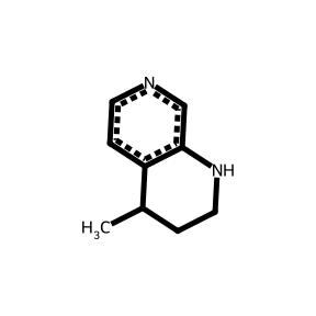 CC1CCNc2cnccc21